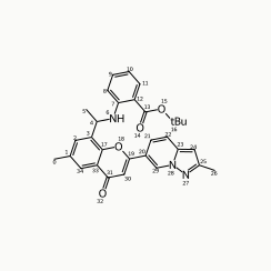 Cc1cc(C(C)Nc2ccccc2C(=O)OC(C)(C)C)c2oc(-c3ccc4cc(C)nn4c3)cc(=O)c2c1